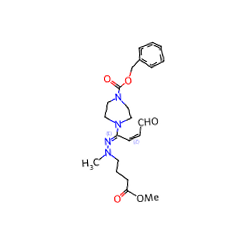 COC(=O)CCCN(C)/N=C(\C=C/C=O)N1CCN(C(=O)OCc2ccccc2)CC1